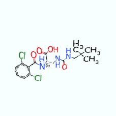 CC(C)(C)CNC(=O)NC[C@H](NC(=O)c1c(Cl)cccc1Cl)C(=O)O